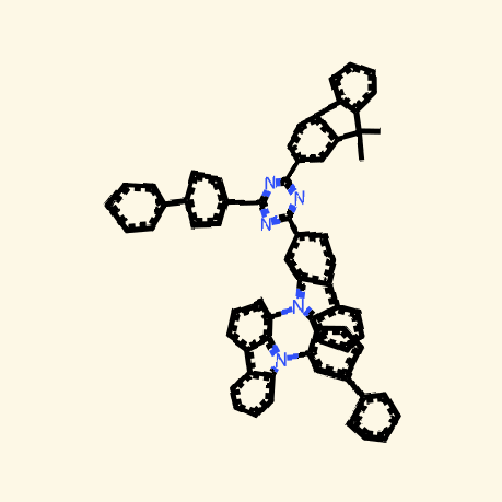 CC1(C)c2ccccc2-c2ccc(-c3nc(-c4ccc(-c5ccccc5)cc4)nc(-c4ccc5c6ccccc6n(-c6cccc7c8ccccc8n(-c8cccc(-c9ccccc9)c8)c67)c5c4)n3)cc21